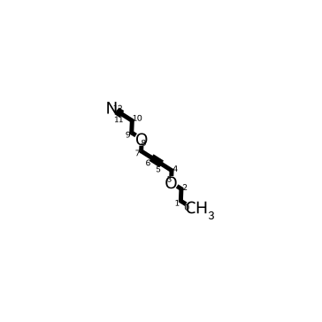 CCCOCC#CCOCCC#N